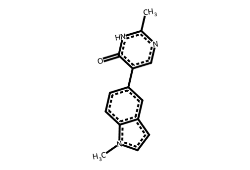 Cc1ncc(-c2ccc3c(ccn3C)c2)c(=O)[nH]1